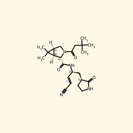 CC(C)(C)CC(=O)N1C[C@H]2[C@@H]([C@H]1C(=O)N[C@H](/C=C/C#N)C[C@@H]1CCNC1=O)C2(C)C